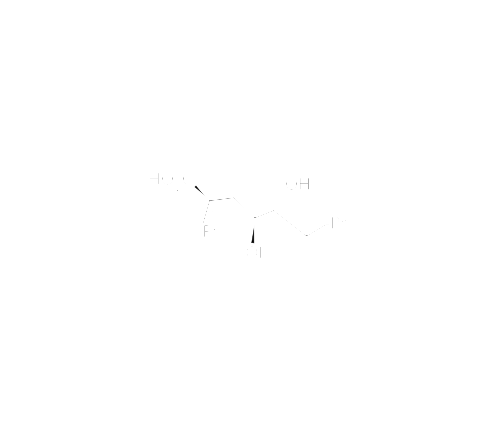 CC(C)C[C@@H](O)[C@@H](O)C[C@H](C(=O)O)C(C)C